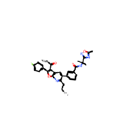 CNC(=O)c1c(-c2ccc(F)cc2)oc2nc(CCC(F)(F)F)c(-c3cccc(C(=O)NC(C)(C)c4noc(C)n4)c3)cc12